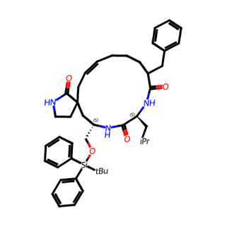 CC(C)C[C@@H]1NC(=O)C(Cc2ccccc2)CCCC=CCC2(CCNC2=O)C[C@@H](CO[Si](c2ccccc2)(c2ccccc2)C(C)(C)C)NC1=O